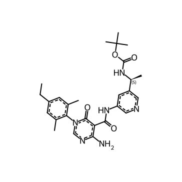 CCc1cc(C)c(-n2cnc(N)c(C(=O)Nc3cncc([C@H](C)NC(=O)OC(C)(C)C)c3)c2=O)c(C)c1